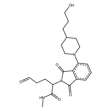 CNC(=O)C(CCC=O)N1C(=O)c2cccc(N3CCC(CCCO)CC3)c2C1=O